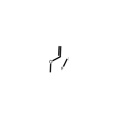 C=COC.[C]F